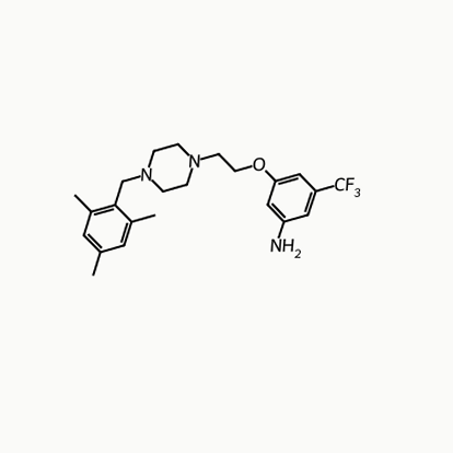 Cc1cc(C)c(CN2CCN(CCOc3cc(N)cc(C(F)(F)F)c3)CC2)c(C)c1